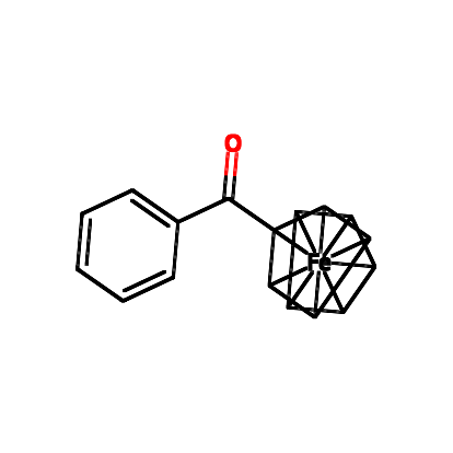 O=C(c1ccccc1)[C]12[CH]3[CH]4[CH]5[CH]1[Fe]45321678[CH]2[CH]1[CH]6[CH]7[CH]28